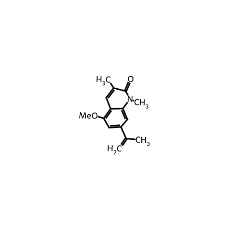 C=C(C)c1cc(OC)c2cc(C)c(=O)n(C)c2c1